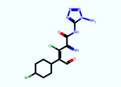 N=C(C(=O)Nc1nnnn1N)/C(Cl)=C(\C=O)C1CCC(Br)CC1